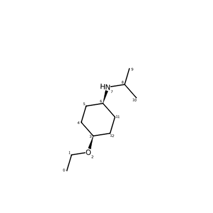 CCO[C@H]1CC[C@@H](NC(C)C)CC1